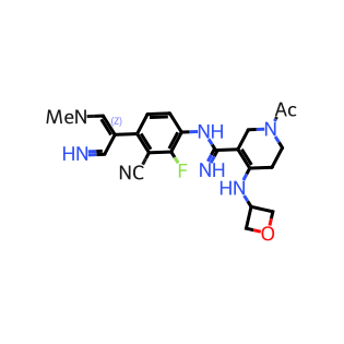 CN/C=C(\C=N)c1ccc(NC(=N)C2=C(NC3COC3)CCN(C(C)=O)C2)c(F)c1C#N